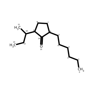 CCCCCCC1CCC(C(C)CC)C1=O